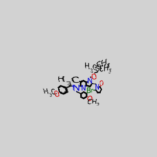 COc1ccc(CN(Cc2ccc(OC)cc2)c2nc3cc(Cn4c(Br)cccc4=O)n(COCC[Si](C)(C)C)c3cc2C)cc1